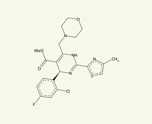 COC(=O)C1=C(CN2CCOCC2)NC(c2nc(C)cs2)=N[C@H]1c1ccc(F)cc1Cl